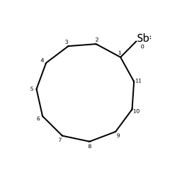 [Sb][CH]1CCCCCCCCCC1